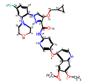 COc1cc2nccc(Oc3ccc(NC(=O)c4nn(-c5ccc(F)cc5N5CCOCC5)cc4OCC4CC4)nc3)c2cc1OC